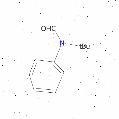 CC(C)(C)N(C=O)c1ccccc1